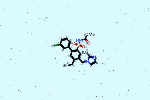 COC(=O)NS(=O)(=O)c1cc(Cn2ccnc2C(C)(C)C)c(CC(C)C)cc1-c1cccc(F)c1